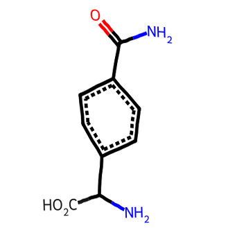 NC(=O)c1ccc(C(N)C(=O)O)cc1